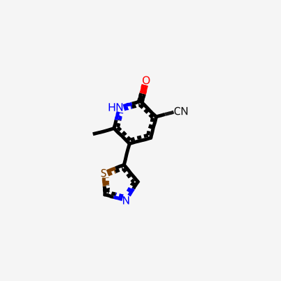 Cc1[nH]c(=O)c(C#N)cc1-c1cncs1